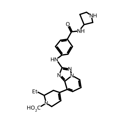 CCC1CC(c2cccn3nc(Nc4ccc(C(=O)NC5CCNC5)cc4)nc23)=CCN1C(=O)O